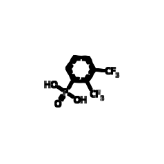 O=P(O)(O)c1cccc(C(F)(F)F)c1C(F)(F)F